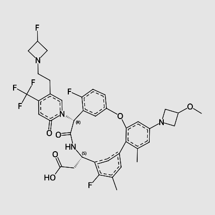 COC1CN(c2cc(C)c3c(c2)Oc2ccc(F)c(c2)[C@@H](n2cc(CCN4CC(F)C4)c(C(F)(F)F)cc2=O)C(=O)N[C@@H](CC(=O)O)c2cc-3cc(C)c2F)C1